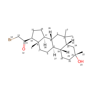 CC1(C)C[C@@H]2[C@H](CC[C@]3(C)[C@@H](C(=O)CBr)CC[C@@H]23)[C@H]2CC[C@@](C)(O)C[C@H]21